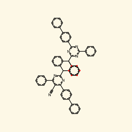 N#Cc1c(-c2ccccc2)nc(C23c4ccccc4C(c4nc(-c5ccccc5)nc(-c5ccc(-c6ccccc6)cc5)n4)(c4ccccc42)c2ccccc23)nc1-c1ccc(-c2ccccc2)cc1